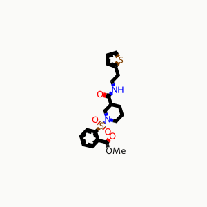 COC(=O)c1ccccc1S(=O)(=O)N1CCCC(C(=O)NCCc2cccs2)C1